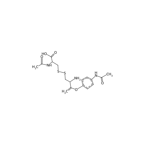 C=C(Oc1ccc(NC(C)=O)cc1)C(N)CSSCC(NC(C)=O)C(=O)O